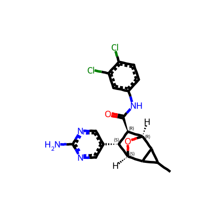 CC1C2C1[C@@H]1O[C@H]2[C@H](C(=O)Nc2ccc(Cl)c(Cl)c2)[C@H]1c1cnc(N)nc1